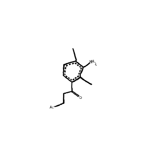 CC(=O)CCC(=O)c1ccc(C)c(N)c1C